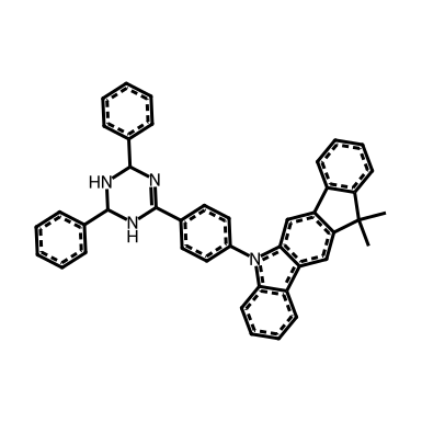 CC1(C)c2ccccc2-c2cc3c(cc21)c1ccccc1n3-c1ccc(C2=NC(c3ccccc3)NC(c3ccccc3)N2)cc1